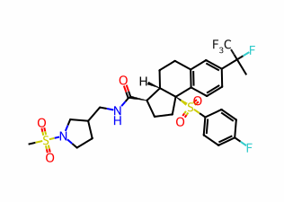 CC(F)(c1ccc2c(c1)CC[C@H]1[C@H](C(=O)NCC3CCN(S(C)(=O)=O)C3)CC[C@@]21S(=O)(=O)c1ccc(F)cc1)C(F)(F)F